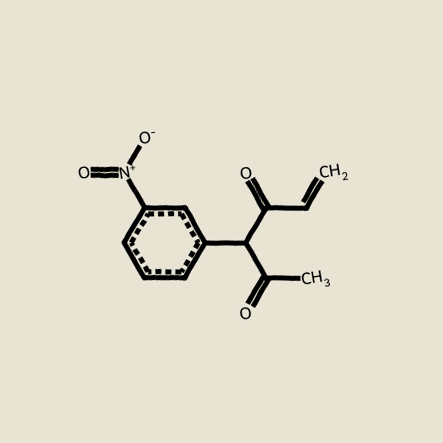 C=CC(=O)C(C(C)=O)c1cccc([N+](=O)[O-])c1